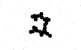 C1=CC2c3cc(-c4ccc5c(c4)Oc4ccccc4N5c4ccc5ccccc5c4)ccc3N(c3nc(-c4ccc(-c5ccccc5)cc4)nc(-c4ccc(-c5ccc6cc(N7c8ccccc8Oc8cc(-c9ccc%10c(c9)c9ccccc9n%10-c9ccc(-c%10nc%11ccccc%11n%10-c%10ccccc%10)cc9)ccc87)ccc6c5)cc4)n3)C2C=C1